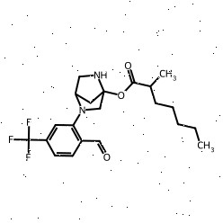 CCCCCC(C)C(=O)OC12CC(CN1)N(c1cc(C(F)(F)F)ccc1C=O)C2